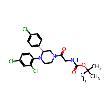 CC(C)(C)OC(=O)NCC(=O)N1CCN(c2ccc(Cl)cc2Cl)[C@H](c2ccc(Cl)cc2)C1